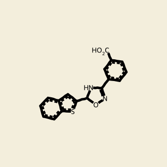 O=C(O)c1cccc(C2=NOC(c3cc4ccccc4s3)N2)c1